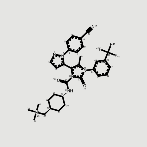 Cc1c(-c2ccnn2-c2ccc(C#N)cc2)n(C(=O)N[C@H]2CC[C@H](C[N+](C)(C)C)CC2)c(=O)n1-c1cccc(C(F)(F)F)c1